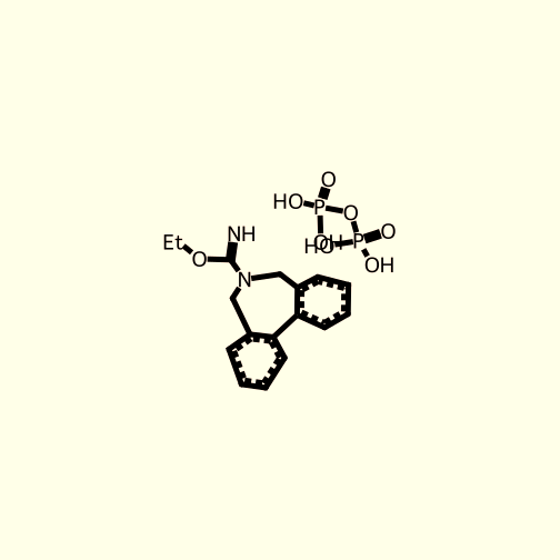 CCOC(=N)N1Cc2ccccc2-c2ccccc2C1.O=P(O)(O)OP(=O)(O)O